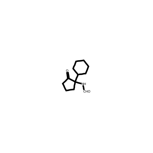 O=CNC1(C2CCCCC2)CCCC1=O